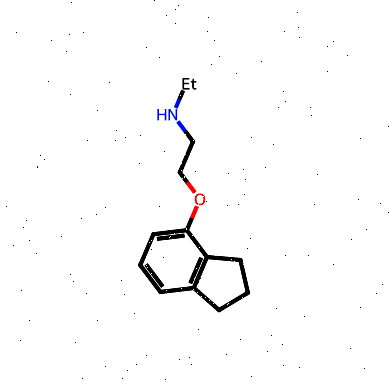 CCNCCOc1cccc2c1CCC2